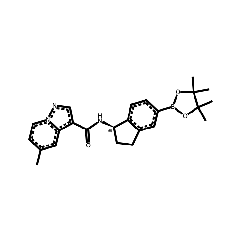 Cc1ccn2ncc(C(=O)N[C@@H]3CCc4cc(B5OC(C)(C)C(C)(C)O5)ccc43)c2c1